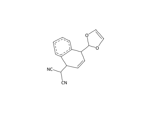 N#CC(C#N)C1C=CC(C2OC=CO2)c2ccccc21